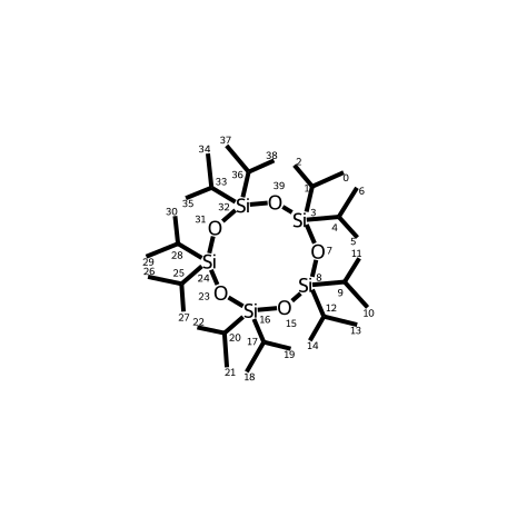 CC(C)[Si]1(C(C)C)O[Si](C(C)C)(C(C)C)O[Si](C(C)C)(C(C)C)O[Si](C(C)C)(C(C)C)O[Si](C(C)C)(C(C)C)O1